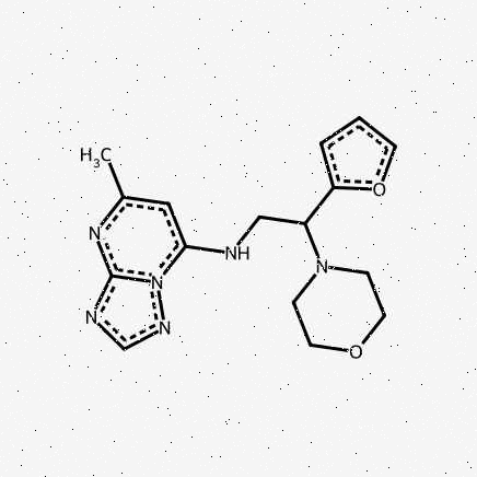 Cc1cc(NCC(c2ccco2)N2CCOCC2)n2ncnc2n1